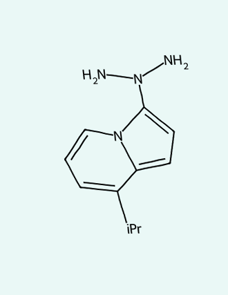 CC(C)c1cccn2c(N(N)N)ccc12